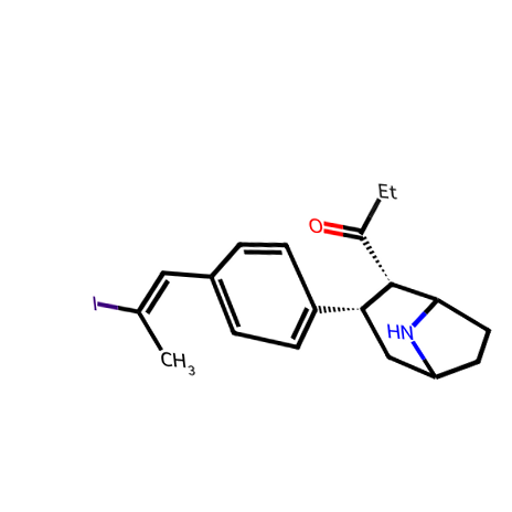 CCC(=O)[C@@H]1C2CCC(C[C@@H]1c1ccc(/C=C(\C)I)cc1)N2